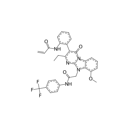 C=CC(=O)Nc1ccccc1-c1c(CC)nc2n(CC(=O)Nc3ccc(C(F)(F)F)cc3)c3c(OC)cccc3n2c1=O